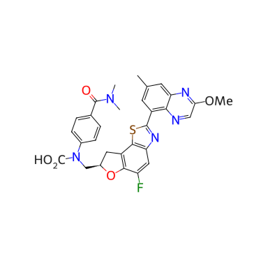 COc1cnc2c(-c3nc4cc(F)c5c(c4s3)C[C@H](CN(C(=O)O)c3ccc(C(=O)N(C)C)cc3)O5)cc(C)cc2n1